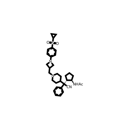 CC(=O)N[C@@H]1CCC[C@H]1C(C#N)(c1ccccc1)C1CCN(CC2CN(c3ccc(S(=O)(=O)C4CC4)cc3)C2)CC1